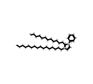 CCCCCCCCCCCCCCCC[n+]1ccn(-c2ccccc2)c1CCCCCCCCCCCC